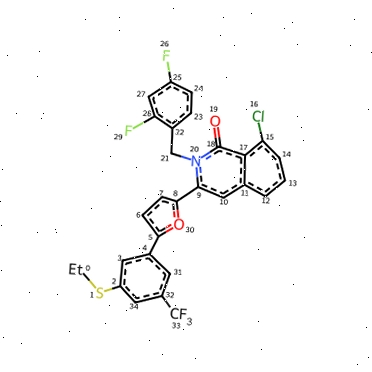 CCSc1cc(-c2ccc(-c3cc4cccc(Cl)c4c(=O)n3Cc3ccc(F)cc3F)o2)cc(C(F)(F)F)c1